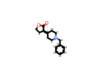 O=C1OCCC1=C1CCN(Cc2ccccc2)CC1